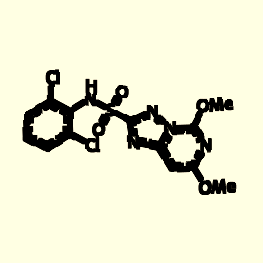 COc1cc2nc(S(=O)(=O)Nc3c(Cl)cccc3Cl)nn2c(OC)n1